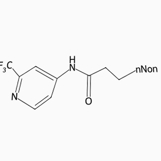 CCCCCCCCCCCC(=O)Nc1ccnc(C(F)(F)F)c1